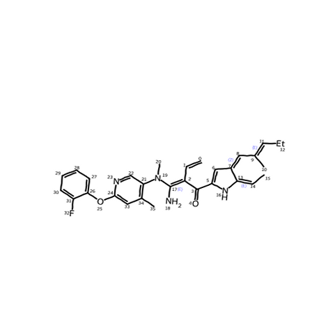 C=C/C(C(=O)c1cc(=C/C(C)=C/CC)/c(=C\C)[nH]1)=C(/N)N(C)c1cnc(Oc2ccccc2F)cc1C